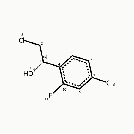 O[C@H](CCl)c1ccc(Cl)cc1F